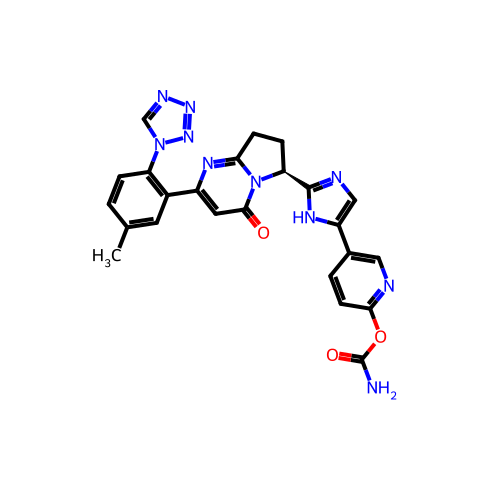 Cc1ccc(-n2cnnn2)c(-c2cc(=O)n3c(n2)CC[C@H]3c2ncc(-c3ccc(OC(N)=O)nc3)[nH]2)c1